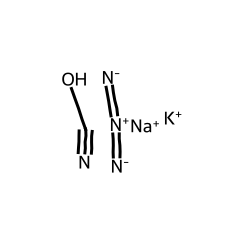 N#CO.[K+].[N-]=[N+]=[N-].[Na+]